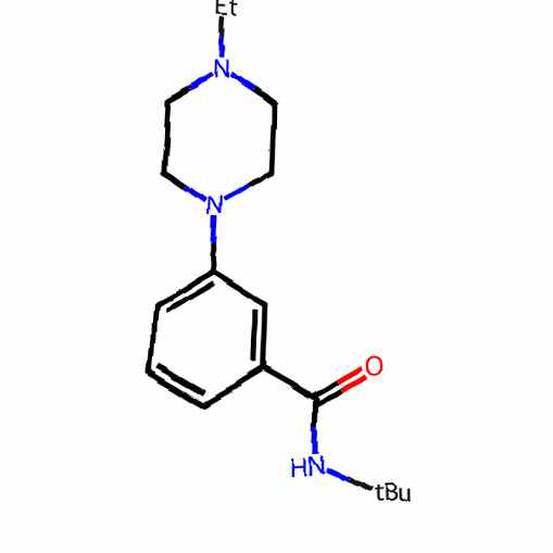 CCN1CCN(c2cccc(C(=O)NC(C)(C)C)c2)CC1